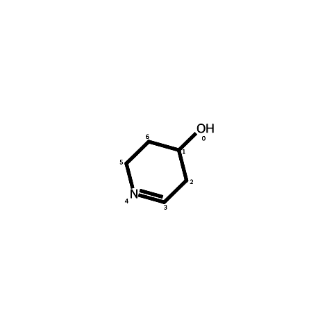 OC1CC=NCC1